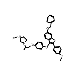 COc1ccc(-c2sc3cc(OCc4ccccc4)ccc3c2Oc2ccc(OCC(C)N3CC[C@@H](CF)C3)cc2)cc1